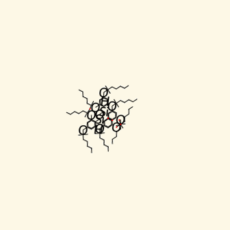 CCCCCC(C)(C)Oc1ccc([SiH](O[SiH](c2ccc(OC(C)(C)CCCCC)cc2OC(C)(C)CCCCC)c2ccc(OC(C)(C)CCCCC)cc2OC(C)(C)CCCCC)c2ccc(OC(C)(C)CCCCC)cc2OC(C)(C)CCCCC)c(OC(C)(C)CCCCC)c1